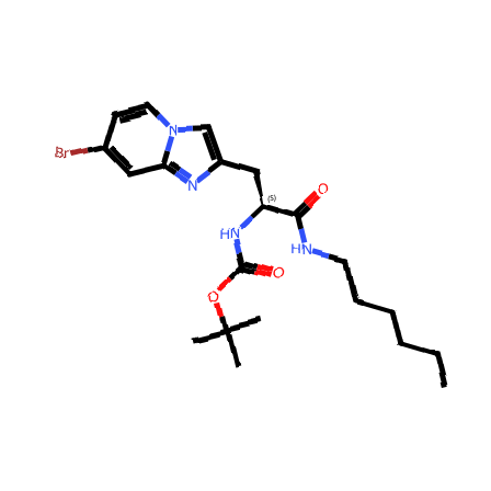 CCCCCCNC(=O)[C@H](Cc1cn2ccc(Br)cc2n1)NC(=O)OC(C)(C)C